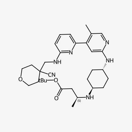 Cc1cnc(N[C@H]2CC[C@H](N[C@@H](C)CC(=O)OC(C)(C)C)CC2)cc1-c1cccc(NCC2(C#N)CCOCC2)n1